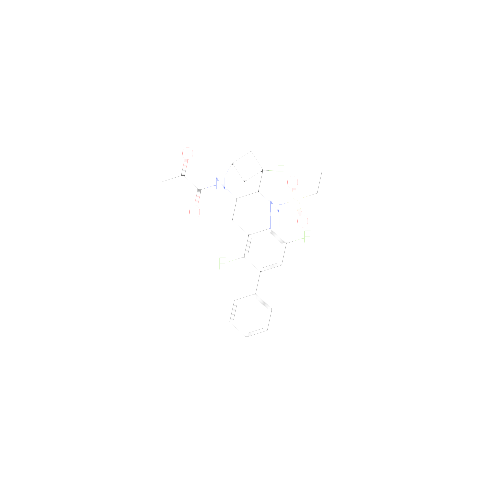 CCS(=O)(=O)NC1C(Cc2cc(F)cc(-c3ccccc3)c2F)N(C(=O)C(C)=O)C2CC1(F)C2